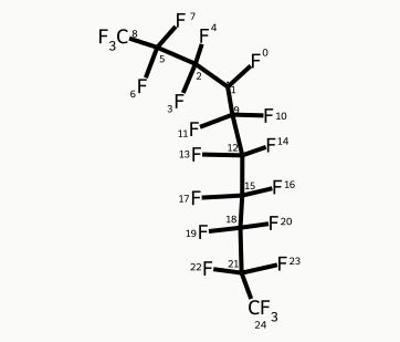 F[C](C(F)(F)C(F)(F)C(F)(F)F)C(F)(F)C(F)(F)C(F)(F)C(F)(F)C(F)(F)C(F)(F)F